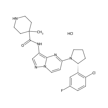 CC1(C(=O)Nc2cnn3ccc(N4CCC[C@@H]4c4cc(F)ccc4Cl)nc23)CCNCC1.Cl